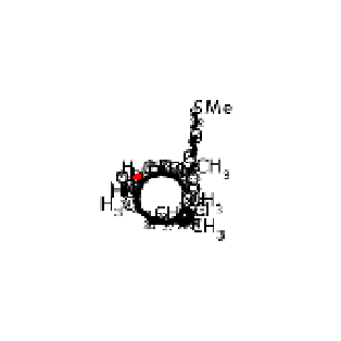 CSSCCOCCO[C@@H](C)C(=O)O[C@H]1CC(=O)N(C)c2cc(cc(C)c2Cl)C/C(C)=C/C=C/[C@@H](C)[C@@]2(O)C[C@H](OC(=O)N2)[C@@H](C)[C@@H]2O[C@@]12C